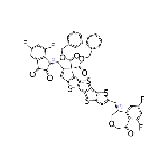 O=C1C(=O)c2cc(F)cc(F)c2/C1=C/C1=Cc2sc3c(sc4c5sc(/C=C6\COCC(=O)c7c(F)cc(F)cc76)cc5sc34)c2C1(C(=O)OCc1ccccc1)C(=O)OCc1ccccc1